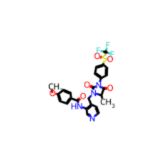 COc1ccc(C(=O)Nc2cnccc2CN2C(=O)N(c3ccc(S(=O)(=O)C(F)(F)F)cc3)C(=O)C2C)cc1